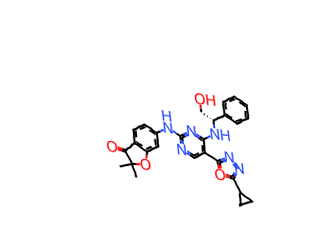 CC1(C)Oc2cc(Nc3ncc(-c4nnc(C5CC5)o4)c(N[C@H](CO)c4ccccc4)n3)ccc2C1=O